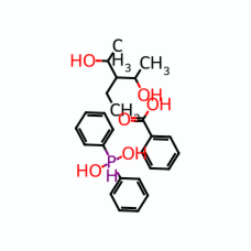 CCC(C(C)O)C(C)O.O=C(O)c1ccccc1.O[PH](O)(c1ccccc1)c1ccccc1